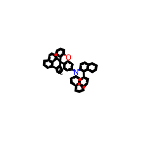 c1ccc(-c2c(N(c3ccc4c(c3)Oc3ccccc3C43c4ccccc4-c4cccc5cccc3c45)c3ccc4ccccc4c3)ccc3ccccc23)cc1